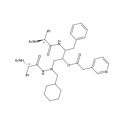 CC(=O)N[C@H](C(=O)NC(Cc1ccccc1)C(CN(CC1CCCCC1)NC(=O)[C@@H](NC(C)=O)C(C)C)OC(=O)Cc1cccnc1)C(C)C